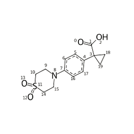 O=C(O)C1(c2ccc(N3CCS(=O)(=O)CC3)cc2)CC1